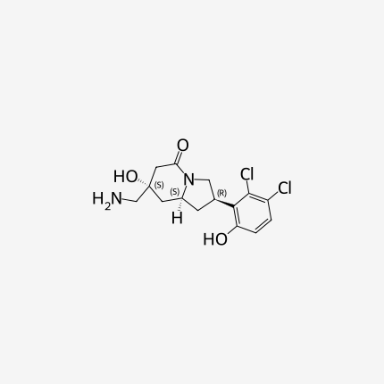 NC[C@@]1(O)CC(=O)N2C[C@@H](c3c(O)ccc(Cl)c3Cl)C[C@H]2C1